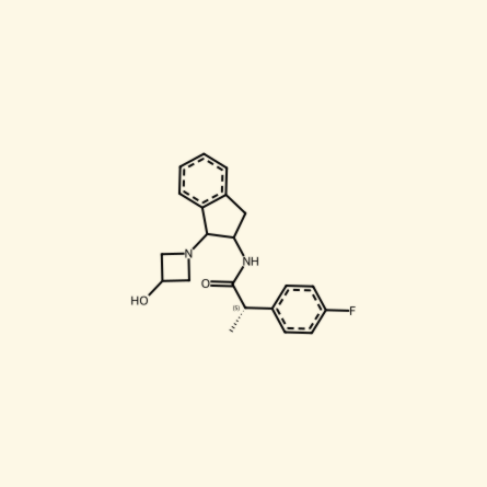 C[C@H](C(=O)NC1Cc2ccccc2C1N1CC(O)C1)c1ccc(F)cc1